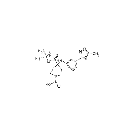 Cc1nc(-c2cccc(NC3(C(=O)OC(C)(C)C)CCN(C(=O)O)CC3)c2)no1